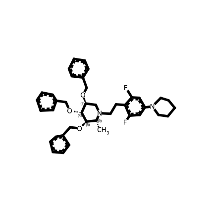 C[C@@H]1[C@@H](OCc2ccccc2)[C@H](OCc2ccccc2)[C@@H](OCc2ccccc2)CN1CCc1c(F)cc(N2CCCCC2)cc1F